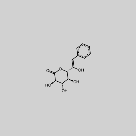 O=C1O[C@H](C(O)=Cc2ccccc2)[C@@H](O)[C@H](O)[C@H]1O